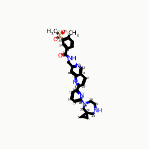 Cc1ccc(C(=O)NCc2cc3nc(-c4cccc(N5CCNCC6(CC6)C5)n4)ccc3cn2)cc1S(C)(=O)=O